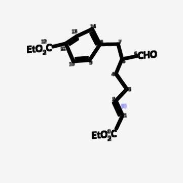 CCOC(=O)/C=C/CCC(C=O)Cc1ccc(C(=O)OCC)cc1